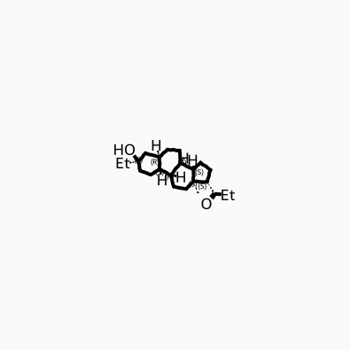 CCC(=O)[C@H]1CC[C@H]2[C@@H]3CC[C@@H]4C[C@@](O)(CC)CC[C@@H]4[C@H]3CC[C@]12C